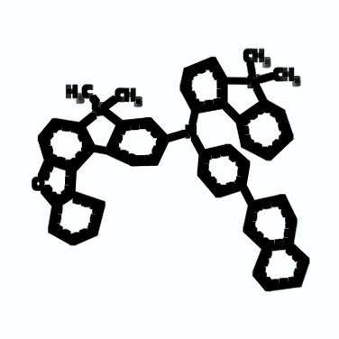 C[Si]1(C)c2ccccc2-c2c(N(c3ccc(-c4ccc5ccccc5c4)cc3)c3ccc4c(c3)[Si](C)(C)c3ccc5oc6ccccc6c5c3-4)cccc21